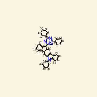 c1ccc(-c2nc(-c3ccccc3)nc(C3c4ccccc4-c4cc5c(cc43)c3ccccc3n5-c3ccccc3)n2)cc1